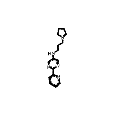 c1ccc(-c2ncc(NCCCN3CCCC3)cn2)nc1